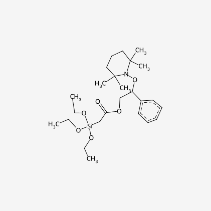 CCO[Si](CC(=O)OCC(ON1C(C)(C)CCCC1(C)C)c1ccccc1)(OCC)OCC